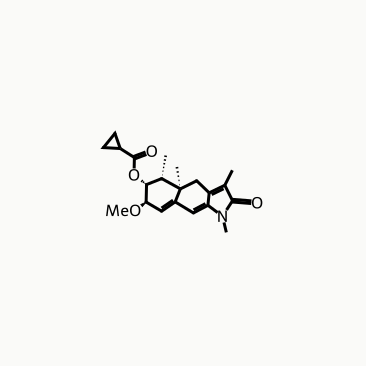 CO[C@@H]1C=C2C=C3C(=C(C)C(=O)N3C)C[C@]2(C)[C@@H](C)[C@H]1OC(=O)C1CC1